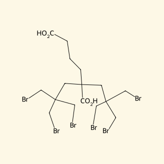 O=C(O)CCCC(CC(CBr)(CBr)CBr)(CC(CBr)(CBr)CBr)C(=O)O